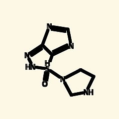 O=[SH]1(N2CCNC2)NN=C2N=CN=C21